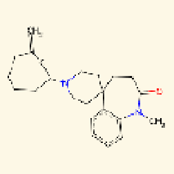 C=C1CCCCC(N2CCC3(CCC(=O)N(C)c4ccccc43)CC2)C1